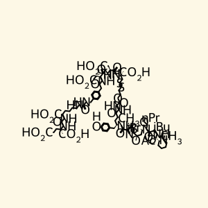 CCCOCN(C(=O)[C@@H](NC(=O)[C@H]1CCCCN1C)C(C)CC)[C@H](C[C@@H](OC(C)=O)c1nc(C(=O)N[C@@H](Cc2ccc(O)cc2)C[C@H](C)C(=O)NNC(=O)OCCSSC[C@H](NC(=O)[C@H](CC(=O)O)NC(=O)[C@H](CC(=O)O)NC(=O)Cc2ccc(CNC(=O)NCCCC[C@@H](NC(=O)N[C@@H](CCC(=O)O)C(=O)O)C(=O)O)cc2)C(=O)O)cs1)C(C)C